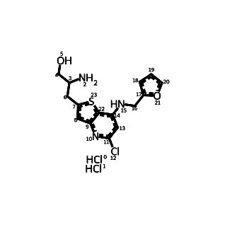 Cl.Cl.NC(CO)Cc1cc2nc(Cl)cc(NCc3ccco3)c2s1